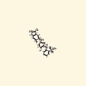 CC(C)S(=O)(=O)c1ccccc1Nc1nc(Nc2cc3c(cc2F)CNC3=O)ccc1I